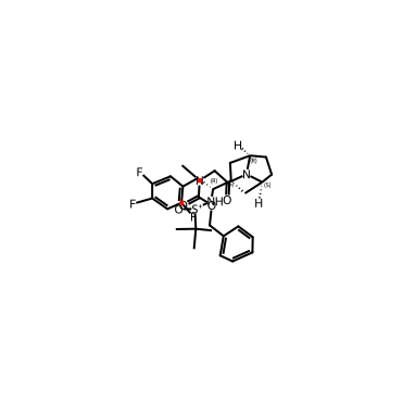 CN(CC(=O)N1[C@@H]2CC[C@H]1C[C@H]([C@@H](Cc1cc(F)c(F)cc1F)N[S+]([O-])C(C)(C)C)C2)C(=O)OCc1ccccc1